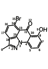 Cc1nn2c3cccc(O)c3c(=O)c3c(Br)ccc1c32